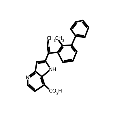 C/C=C(/c1cc2nccc(C(=O)O)c2[nH]1)c1cccc(-c2ccccc2)c1C